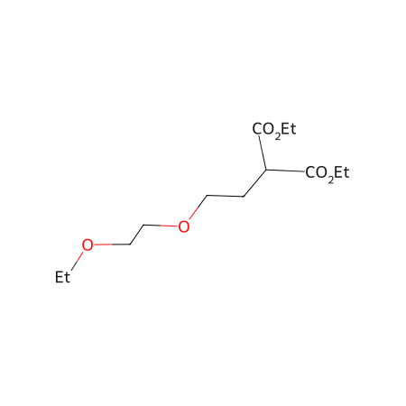 CCOCCOCCC(C(=O)OCC)C(=O)OCC